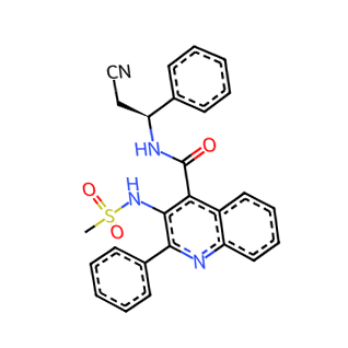 CS(=O)(=O)Nc1c(-c2ccccc2)nc2ccccc2c1C(=O)N[C@@H](CC#N)c1ccccc1